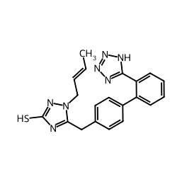 CC=CCn1nc(S)nc1Cc1ccc(-c2ccccc2-c2nnn[nH]2)cc1